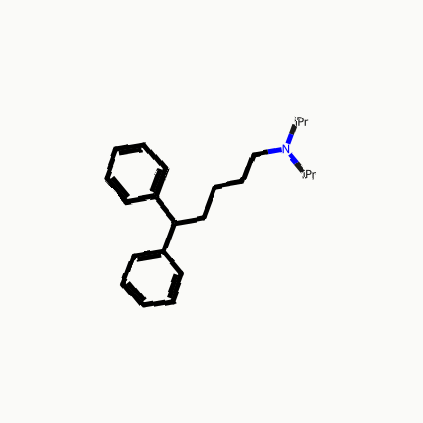 CC(C)N(CCCCC(c1ccccc1)c1ccccc1)C(C)C